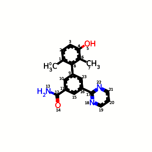 Cc1ccc(O)c(C)c1-c1cc(C(N)=O)cc(-c2ncccn2)c1